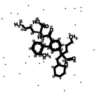 CCCCC(CC1CCCCC1)(c1ccc(C(=O)N[C@@H](CCSC)C(=O)O)c(-c2ccccc2C)c1)P(=O)=O